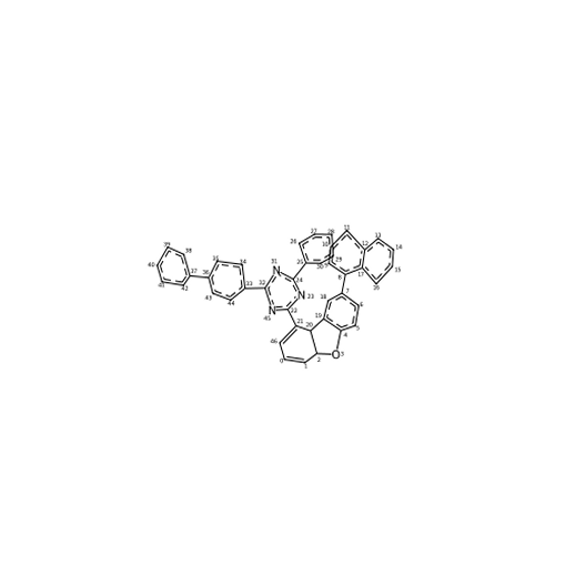 C1=CC2Oc3ccc(-c4cccc5ccccc45)cc3C2C(c2nc(-c3ccccc3)nc(-c3ccc(-c4ccccc4)cc3)n2)=C1